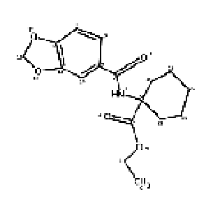 CCOC(=O)C1(NC(=O)c2ccc3c(c2)OCO3)CCCCC1